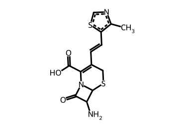 Cc1ncsc1C=CC1=C(C(=O)O)N2C(=O)C(N)C2SC1